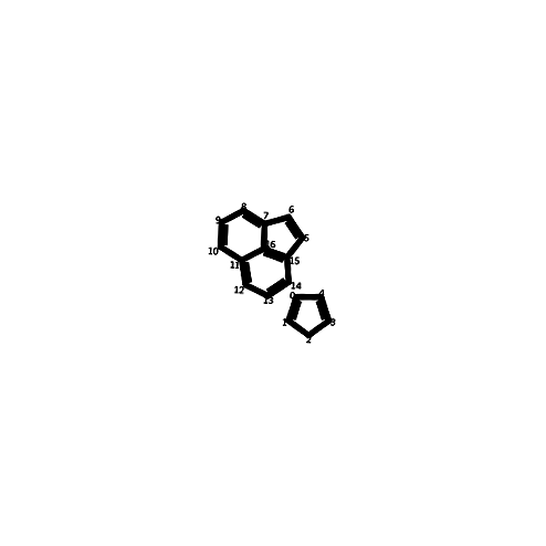 C1=CCC=C1.C1=Cc2cccc3cccc1c23